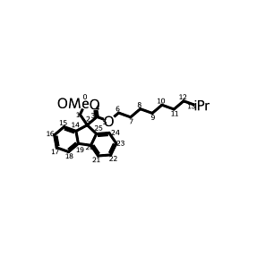 COCC1(C(=O)OCCCCCCCC(C)C)c2ccccc2-c2ccccc21